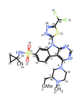 COC[C@H]1CN(c2ncnc3c2c2ccc(S(=O)(=O)NC4(C#N)CC4)cc2n3-c2nnc(C(F)F)s2)CCN1C